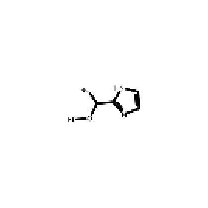 CCOC(C#N)c1ncc[nH]1